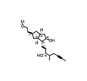 CC#CCC(C)[C@H](O)/C=C/[C@@H]1[C@H]2C/C(=C/COCC)C[C@H]2C[C@H]1O